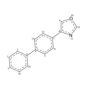 c1ccc(-c2ccc(-c3cocn3)cc2)cc1